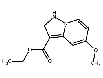 CCOC(=O)C1=C2C=C(OC)C=CN2NC1